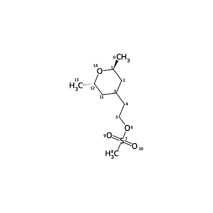 C[C@H]1CC(CCOS(C)(=O)=O)C[C@H](C)O1